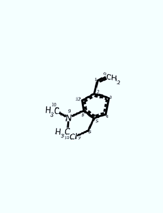 C=Cc1ccc(CCl)c(N(C)C)c1